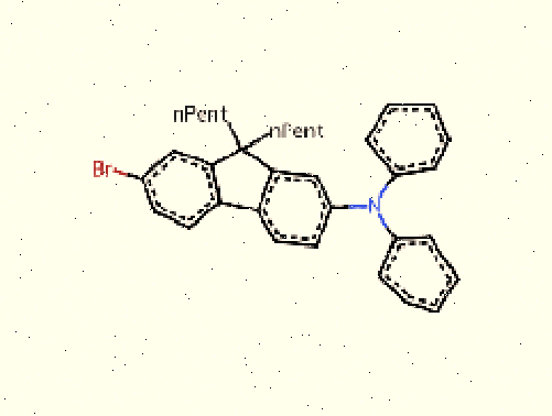 CCCCCC1(CCCCC)c2cc(Br)ccc2-c2ccc(N(c3ccccc3)c3ccccc3)cc21